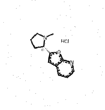 CN1CCC[C@H]1c1cc2cccnc2o1.Cl